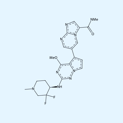 CNC(=O)c1cnc2ncc(-c3ccn4nc(N[C@@H]5CCN(C)CC5(F)F)nc(OC)c34)cn12